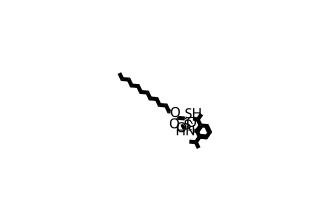 CCCCCCCCCCCCOC(=O)C(S)S(=O)(=O)Nc1c(C(C)C)cccc1C(C)C